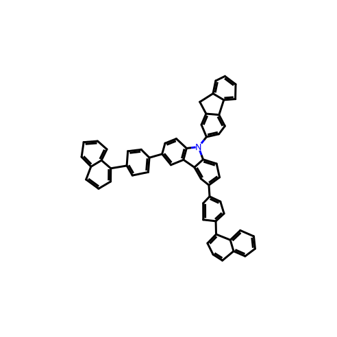 c1ccc2c(c1)Cc1cc(-n3c4ccc(-c5ccc(-c6cccc7ccccc67)cc5)cc4c4cc(-c5ccc(-c6cccc7ccccc67)cc5)ccc43)ccc1-2